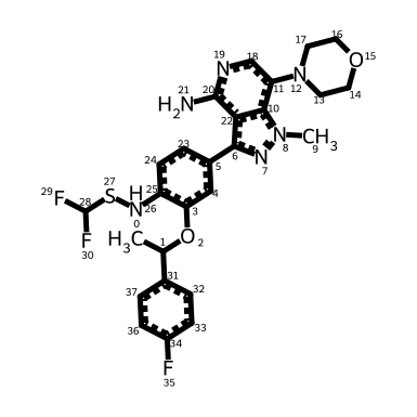 CC(Oc1cc(-c2nn(C)c3c(N4CCOCC4)cnc(N)c23)ccc1NSC(F)F)c1ccc(F)cc1